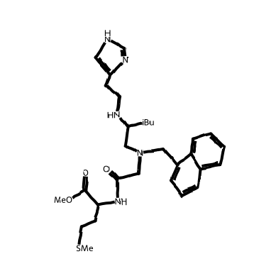 CCC(C)C(CN(CC(=O)NC(CCSC)C(=O)OC)Cc1cccc2ccccc12)NCCc1c[nH]cn1